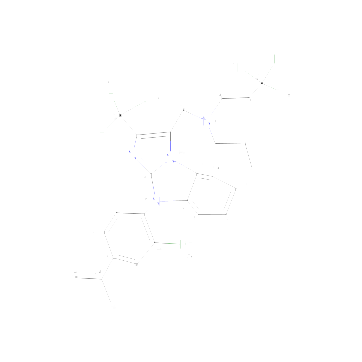 CCCN(CCC(F)(F)F)Cc1c(C(F)(F)F)nc2n(-c3ccc(C(C)C)cc3Br)c3ccccc3n12